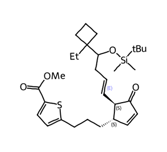 CCC1(C(C/C=C/[C@H]2C(=O)C=C[C@@H]2CCCc2ccc(C(=O)OC)s2)O[Si](C)(C)C(C)(C)C)CCC1